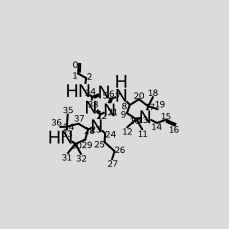 C=CCNc1nc(NC2CC(C)(C)N(CC=C)C(C)(C)C2)nc(N(CCCC)C2CC(C)(C)NC(C)(C)C2)n1